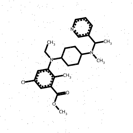 CCN(c1cc(Cl)cc(C(=O)OC)c1C)C1CCC(N(C)C(C)c2cccnc2)CC1